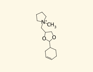 C[N+]1(CC2COC(C3CC=CCC3)O2)CCCC1